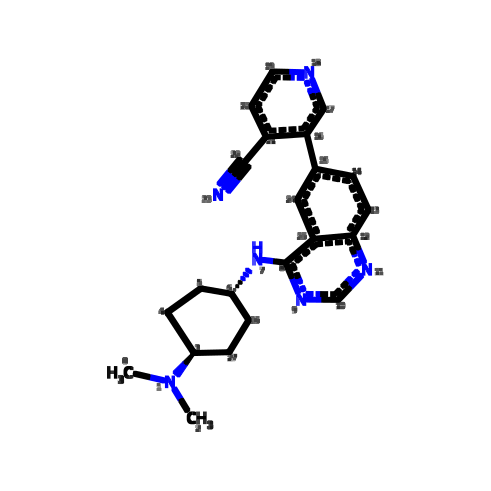 CN(C)[C@H]1CC[C@H](Nc2ncnc3ccc(-c4cnccc4C#N)cc23)CC1